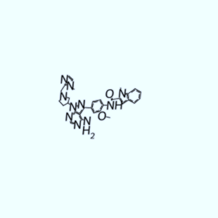 COc1cc(-c2nn(C3CCN(Cc4nccn4C)C3)c3ncnc(N)c23)ccc1NC(=O)c1cc2ccccc2n1C